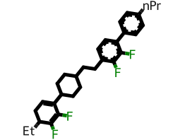 CCCc1ccc(-c2ccc(CCC3CCC(C4=CCC(CC)C(F)=C4F)CC3)c(F)c2F)cc1